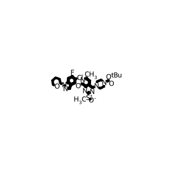 Cc1cc2c(N3CCN(C(=O)OC(C)(C)C)CC3)nc([S+](C)[O-])nc2c(Oc2c(Cl)c(F)cc3c2cnn3C2CCCCO2)n1